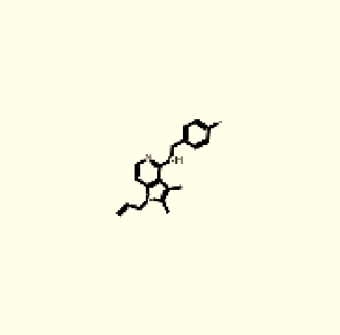 C=CCn1c(C)c(C)c2c(NCc3ccc(F)cc3)nccc21